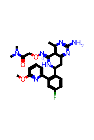 COc1cccc(-c2cc(F)ccc2C2Cc3nc(N)nc(C)c3/C(=N/OCC(=O)N(C)C)N2)n1